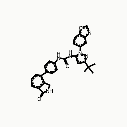 CC(C)(C)c1cc(NC(=O)Nc2ccc(-c3cccc4c3CNC4=O)cc2)n(-c2ccc3ocnc3c2)n1